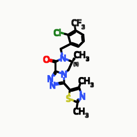 Cc1nc(C)c(-c2nnc3n2C[C@H](C)N(Cc2cccc(C(F)(F)F)c2Cl)C3=O)s1